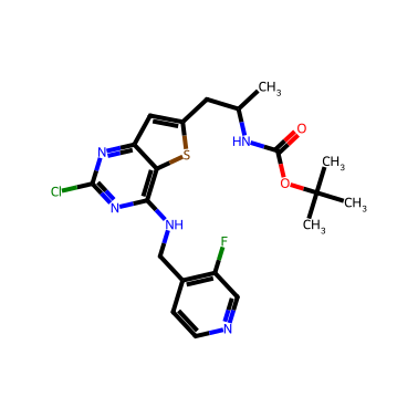 CC(Cc1cc2nc(Cl)nc(NCc3ccncc3F)c2s1)NC(=O)OC(C)(C)C